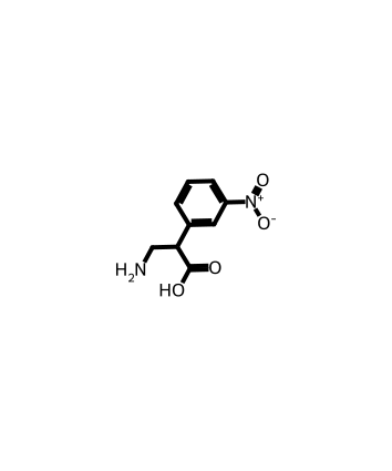 NCC(C(=O)O)c1cccc([N+](=O)[O-])c1